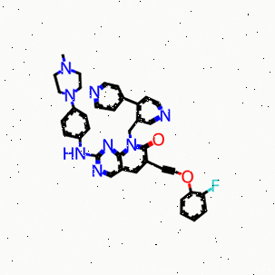 CN1CCN(c2ccc(Nc3ncc4cc(C#COc5ccccc5F)c(=O)n(Cc5cnccc5-c5ccncc5)c4n3)cc2)CC1